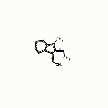 C/C=c1\c(=C/C)n(C)c2ccccc12